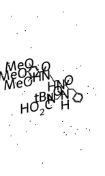 COc1cc(C(=O)NCCCNC(=O)C(Cc2ccccc2)NC(=O)CN(C(=O)O)C(C)(C)C)cc(OC)c1OC